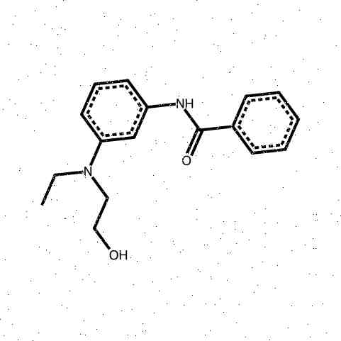 CCN(CCO)c1cccc(NC(=O)c2ccccc2)c1